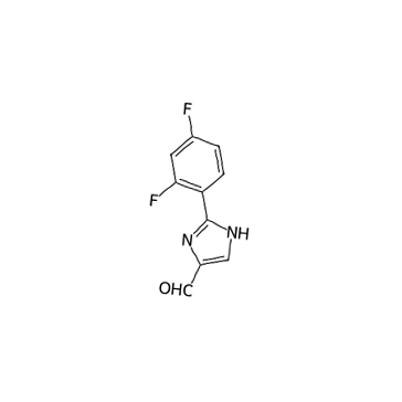 O=Cc1c[nH]c(-c2ccc(F)cc2F)n1